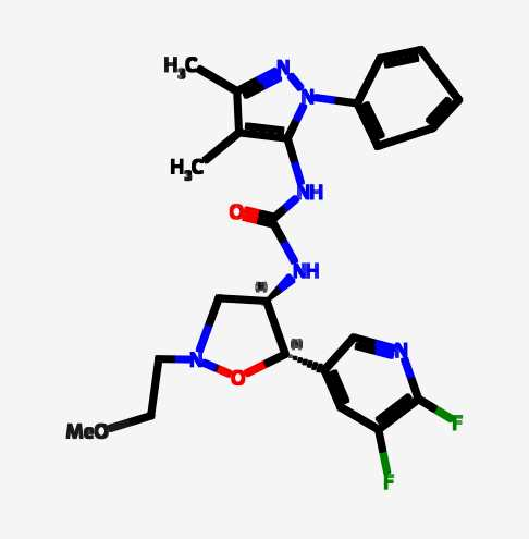 COCCN1C[C@@H](NC(=O)Nc2c(C)c(C)nn2-c2ccccc2)[C@H](c2cnc(F)c(F)c2)O1